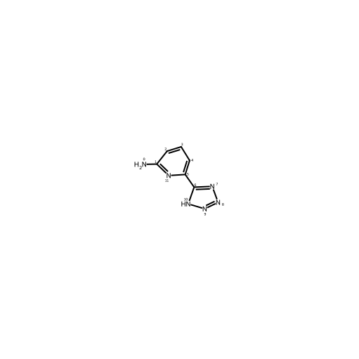 Nc1cccc(-c2nnn[nH]2)n1